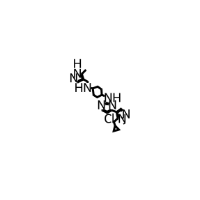 Cc1[nH]ncc1CNC1CCC(Nc2ncc(Cl)c(-c3cnn(C)c3CC3CC3)n2)CC1